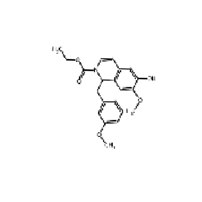 CCOC(=O)N1C=Cc2cc(O)c(OC)cc2C1Cc1cccc(OC)c1